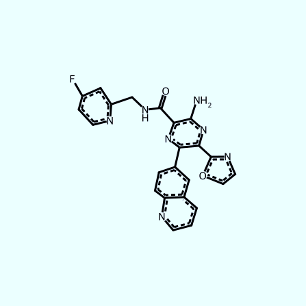 Nc1nc(-c2ncco2)c(-c2ccc3ncccc3c2)nc1C(=O)NCc1cc(F)ccn1